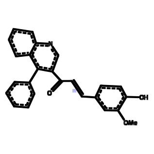 COc1cc(/C=C/C(=O)c2cnc3ccccc3c2-c2ccccc2)ccc1O